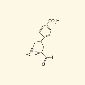 C#CCC(CC(=O)C(=O)I)c1ccc(C(=O)O)cc1